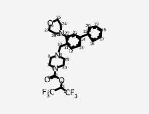 O=C(OC(C(F)(F)F)C(F)(F)F)N1CCN(Cc2ccc(-c3ccccc3)cc2N2CCOCC2)CC1